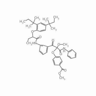 CCC(Oc1ccc(C(C)(C)CC)cc1C(C)(C)CC)C(=O)Nc1cccc(C(=O)C(OC)(Oc2ccc(C(=O)OC)cc2)C(=O)Nc2ccccc2)c1